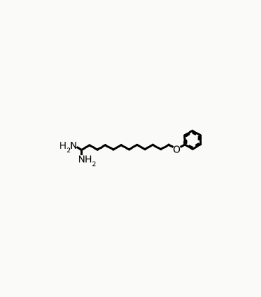 NC(N)CCCCCCCCCCCOc1ccccc1